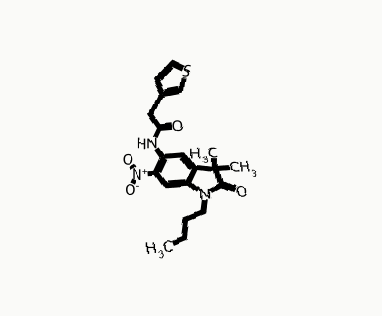 CCCCN1C(=O)C(C)(C)c2cc(NC(=O)Cc3ccsc3)c([N+](=O)[O-])cc21